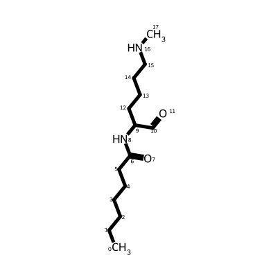 CCCCCCC(=O)NC(C=O)CCCCNC